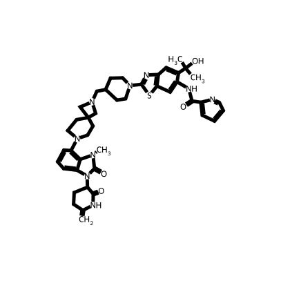 C=C1CCC(n2c(=O)n(C)c3c(N4CCC5(CC4)CN(CC4CCN(c6nc7cc(C(C)(C)O)c(NC(=O)c8ccccn8)cc7s6)CC4)C5)cccc32)C(=O)N1